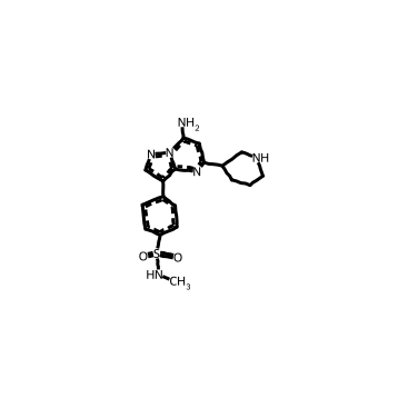 CNS(=O)(=O)c1ccc(-c2cnn3c(N)cc(C4CCCNC4)nc23)cc1